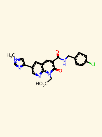 Cn1cnc(-c2cnc3c(c2)cc(C(=O)NCc2ccc(Cl)cc2)c(=O)n3CC(=O)O)c1